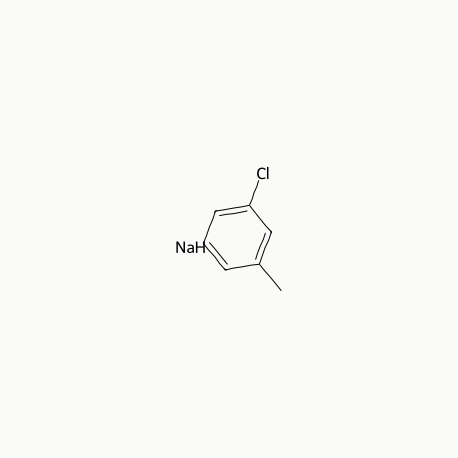 Cc1cccc(Cl)c1.[NaH]